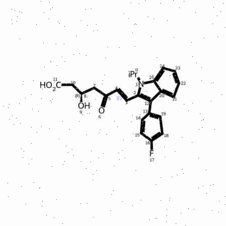 CC(C)n1c(/C=C/C(=O)C[C@@H](O)CC(=O)O)c(-c2ccc(F)cc2)c2ccccc21